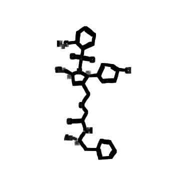 CC(=O)[C@@H](Cc1ccccc1)NC(=O)COCC1=C[C@@H](C(C)(C)C)N(S(=O)(=O)c2ccccc2C)[C@H]1c1ccc(Cl)cc1